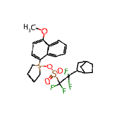 COc1ccc(S2(OS(=O)(=O)C(F)(F)C(F)(F)C3CC4CCC3C4)CCCC2)c2ccccc12